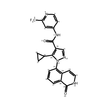 O=C(Nc1ccnc(C(F)(F)F)c1)c1cnn(-c2cccc3c(=O)[nH]ccc23)c1C1CC1